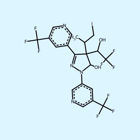 CC(CI)C1(C(O)C(F)(F)F)C(c2cncc(C(F)(F)F)c2)=NN(c2cncc(C(F)(F)F)c2)C1O